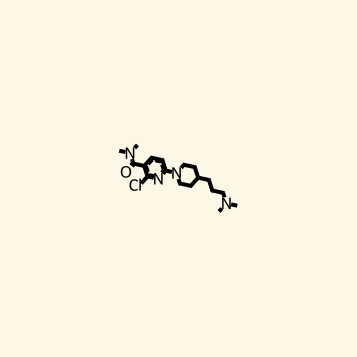 CN(C)CCCC1CCN(c2ccc(C(=O)N(C)C)c(Cl)n2)CC1